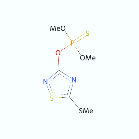 COP(=S)(OC)Oc1nsc(SC)n1